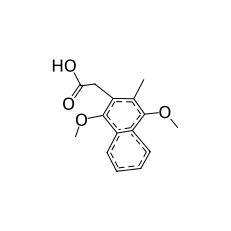 COc1c(C)c(CC(=O)O)c(OC)c2ccccc12